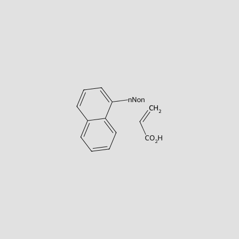 C=CC(=O)O.CCCCCCCCCc1cccc2ccccc12